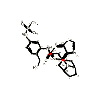 CCc1ccc(NS(C)(=O)=O)cc1NC(=O)CN1CC2CCC(C1)N2c1ncnc2scnc12